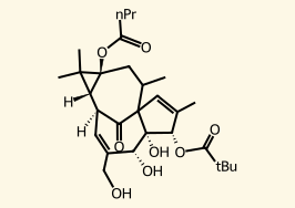 CCCC(=O)O[C@@]12CC(C)C34C=C(C)[C@H](OC(=O)C(C)(C)C)[C@@]3(O)[C@H](O)C(CO)=C[C@H](C4=O)[C@@H]1C2(C)C